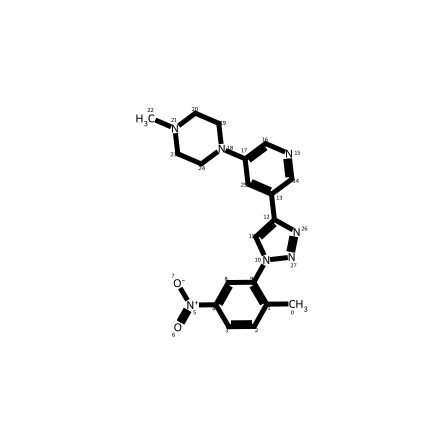 Cc1ccc([N+](=O)[O-])cc1-n1cc(-c2cncc(N3CCN(C)CC3)c2)nn1